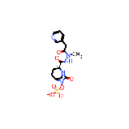 CN(NC(=O)[C@@H]1CCC2CN1C(=O)N2OS(=O)(=O)O)C(=O)Cc1cccnc1